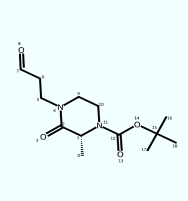 C[C@@H]1C(=O)N(CCC=O)CCN1C(=O)OC(C)(C)C